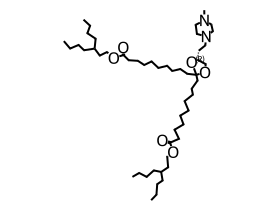 CCCCC(CCCC)CCOC(=O)CCCCCCCCCC1(CCCCCCCCCC(=O)OCCC(CCCC)CCCC)OC[C@@H](CCN2CCN(C)CC2)O1